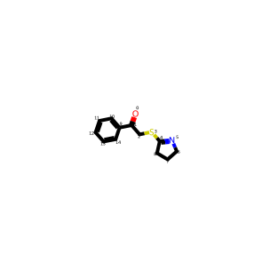 O=C(CSC1=NCCC1)c1ccccc1